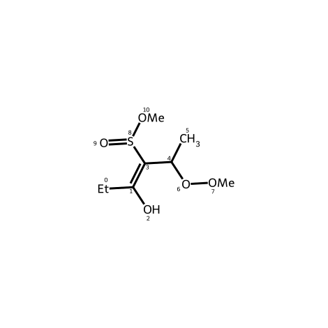 CC/C(O)=C(/C(C)OOC)S(=O)OC